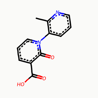 Cc1ncccc1-n1cccc(C(=O)O)c1=O